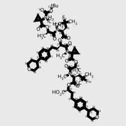 C[C@@H](OC(=O)C1(N(C)C(=O)OC(C)(C)C)CC1)C(=O)N(C)[C@@H](CC(C)(C)F)C(=O)O[C@H](CCc1ccc(C2CCOCC2)cc1)C(=O)N(C)C1(C(=O)O[C@H](C)C(=O)N(C)[C@@H](CC(C)(C)F)C(=O)O[C@H](CCc2ccc(C3CCOCC3)cc2)C(=O)O)CC1